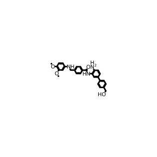 COc1ccc(NCc2ccc(C(=O)Nc3cc(-c4ccc(CO)cc4)ccc3N)cc2)cc1OC